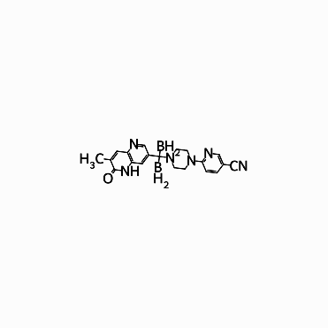 BC(B)(c1cnc2cc(C)c(=O)[nH]c2c1)N1CCN(c2ccc(C#N)cn2)CC1